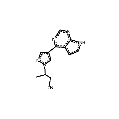 CC(CC#N)n1cc(-c2ncnc3[nH]ccc23)cn1